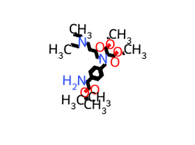 CCCN(CCC)CCCCN(Cc1ccc(C(N)C(=O)OC(C)(C)C)cc1)C(C(=O)OCC)C(=O)OCC